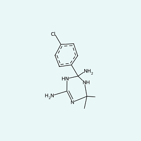 CC1(C)N=C(N)NC(N)(c2ccc(Cl)cc2)N1